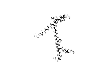 CCCCCCCCCC(CCCCCCCCC(=O)OCCC(CCCCC)CCCCC)COC(O)C1CCN(C)C1